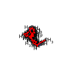 C/C=C(\NC(=O)C(NC(=O)C(C)NC(=O)C(NC(=O)C(C)NC(=O)CNC(=O)C(NC(=O)C(C)NC(=O)C(C)NC(=O)C(C)NC(=O)C(C)NC(=O)C(CC(C)C)NC(=O)C1CCCN1C(=O)/C(=C\C)NC(=O)CC(O)CCCCCCC)C(C)C)C(C)C)C(C)C)C(=O)NC1C(=O)NC(C)C(=O)NC(C(C)N)C(=O)NC(C(C)N)C(=O)NC(Cc2ccccc2)C(=O)OC1C